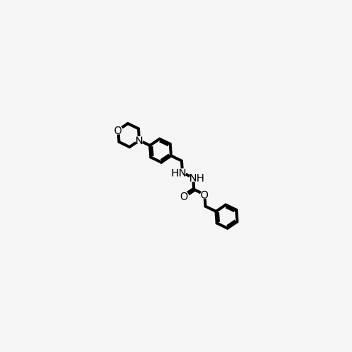 O=C(NNCc1ccc(N2CCOCC2)cc1)OCc1ccccc1